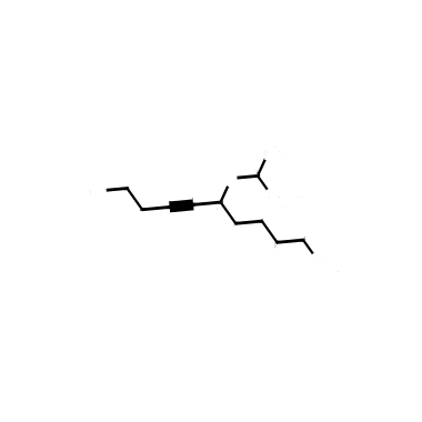 CCCCCCCCCCCCC#CC(CCCCC(=O)O)SC(CCCC)C(=O)O